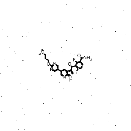 CN(C)CCCOc1ncc(-c2cnc3[nH]cc(C(=O)c4c(F)ccc(C(N)=O)c4F)c3c2)cn1